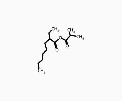 CCCCCCC(CC)C(=O)OC(=O)C(C)C